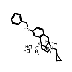 C[C@@H]1[C@H]2Cc3ccc(NCc4ccccc4)cc3[C@]1(C)CCN2CC1CC1.Cl.Cl